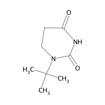 CC(C)(C)N1CCC(=O)NC1=O